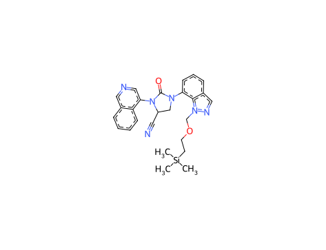 C[Si](C)(C)CCOCn1ncc2cccc(N3CC(C#N)N(c4cncc5ccccc45)C3=O)c21